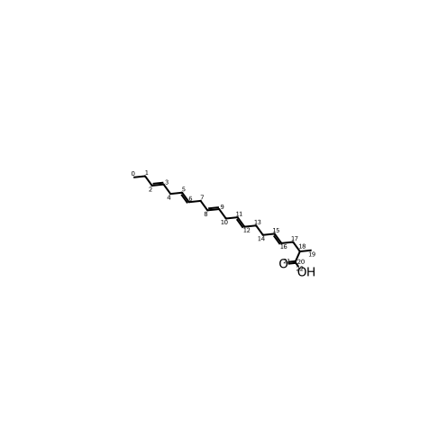 CCC=CCC=CCC=CCC=CCCC=CCC(C)C(=O)O